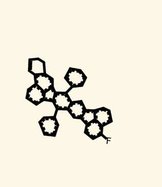 Fc1ccc2c3cc4c(-c5ccccc5)c5c6cccc7c8c(cc(c5c(-c5ccccc5)c4cc3c3cccc1c23)c76)CCC=C8